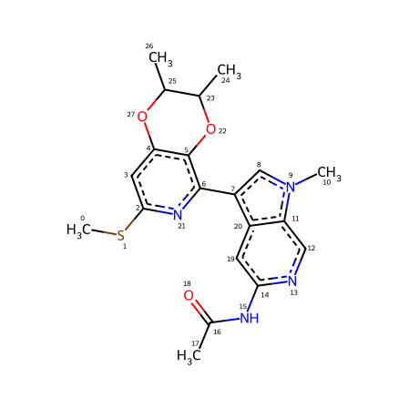 CSc1cc2c(c(-c3cn(C)c4cnc(NC(C)=O)cc34)n1)OC(C)C(C)O2